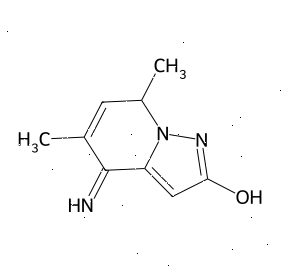 CC1=CC(C)n2nc(O)cc2C1=N